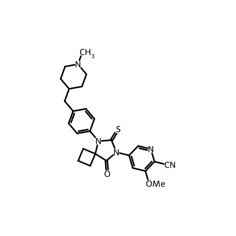 COc1cc(N2C(=O)C3(CCC3)N(c3ccc(CC4CCN(C)CC4)cc3)C2=S)cnc1C#N